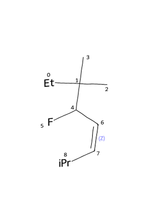 CCC(C)(C)C(F)/C=C\C(C)C